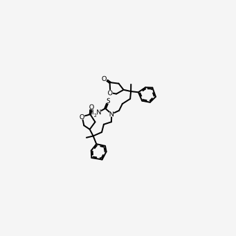 CC(CCCN(CCCC(C)(c1ccccc1)C1COC(=O)C1)C(N)=S)(c1ccccc1)C1COC(=O)C1